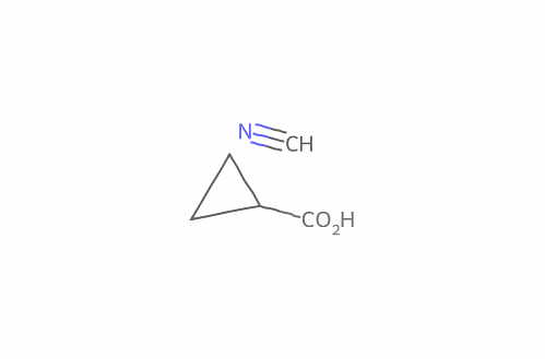 C#N.O=C(O)C1CC1